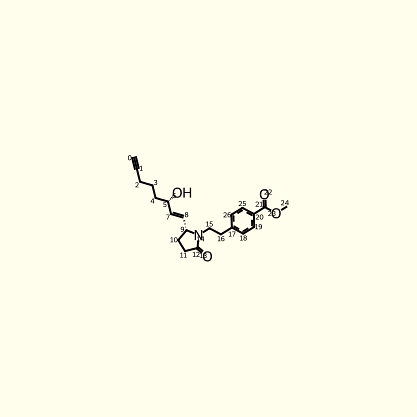 C#CCCC[C@H](O)C=C[C@H]1CCC(=O)N1CCc1ccc(C(=O)OC)cc1